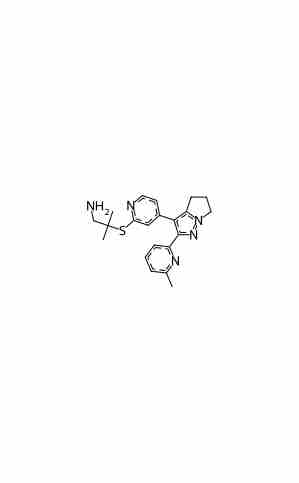 Cc1cccc(-c2nn3c(c2-c2ccnc(SC(C)(C)CN)c2)CCC3)n1